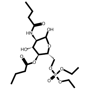 CCCC(=O)N[C@H]1C(O)O[C@H](COP(=O)(OCC)OCC)[C@@H](OC(=O)CCC)[C@@H]1O